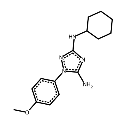 COc1ccc(-n2nc(NC3CCCCC3)nc2N)cc1